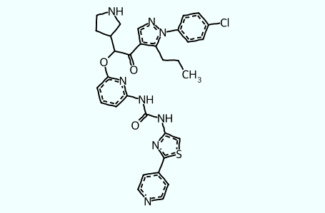 CCCc1c(C(=O)C(Oc2cccc(NC(=O)Nc3csc(-c4ccncc4)n3)n2)C2CCNC2)cnn1-c1ccc(Cl)cc1